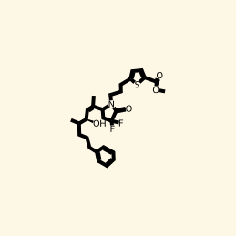 COC(=O)c1ccc(CCCN2C(=O)C(F)(F)CC2/C(C)=C\[C@@H](O)C(C)CCCc2ccccc2)s1